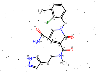 Cc1cccc(Cn2cc(C(N)=O)cc(C(=O)N(C)CCc3cn[nH]c3)c2=O)c1F